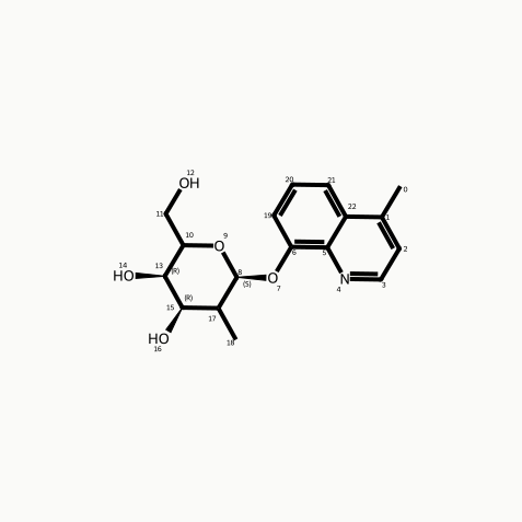 Cc1ccnc2c(O[C@@H]3OC(CO)[C@H](O)[C@H](O)C3C)cccc12